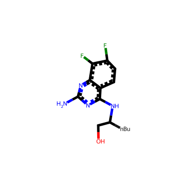 CCCCC(CO)Nc1nc(N)nc2c(F)c(F)ccc12